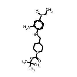 CC[S+]([O-])c1ccc(NCC2CCN(C(=O)OC(C)(C)C)CC2)c(N)c1